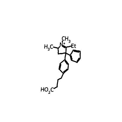 CCC1=[N+](C)C(C)CC1(c1ccccc1)c1ccc(CCCC(=O)O)cc1